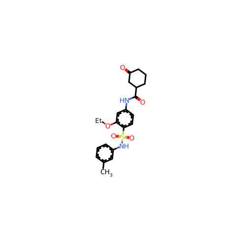 CCOc1cc(NC(=O)C2CCCC(=O)C2)ccc1S(=O)(=O)Nc1cccc(C)c1